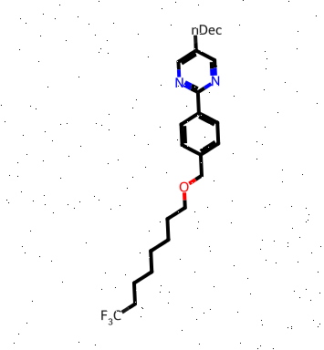 CCCCCCCCCCc1cnc(-c2ccc(COCCCCCCCC(F)(F)F)cc2)nc1